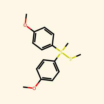 COc1ccc(S(C)(SC)c2ccc(OC)cc2)cc1